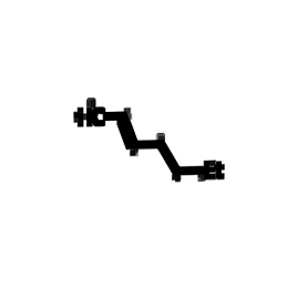 [CH]/C=C/CCCC